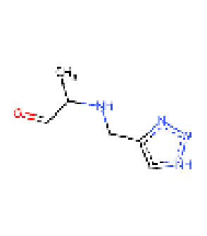 CC([C]=O)NCc1c[nH]nn1